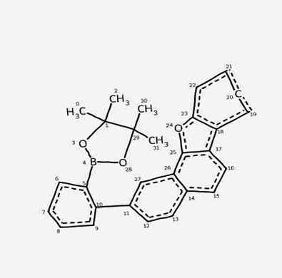 CC1(C)OB(c2ccccc2-c2ccc3ccc4c5ccccc5oc4c3c2)OC1(C)C